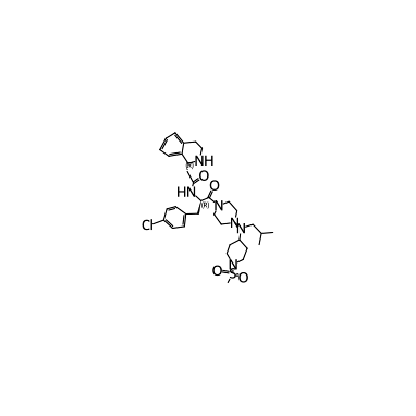 CC(C)CN(C1CCN(S(C)(=O)=O)CC1)N1CCN(C(=O)[C@@H](Cc2ccc(Cl)cc2)NC(=O)C[C@H]2NCCc3ccccc32)CC1